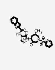 CC(C)C[C@H](NC(=O)c1cc2ccccc2s1)C(=O)N[C@H]1C[C@H](C)CN(S(=O)(=O)c2ccccn2)CC1=O